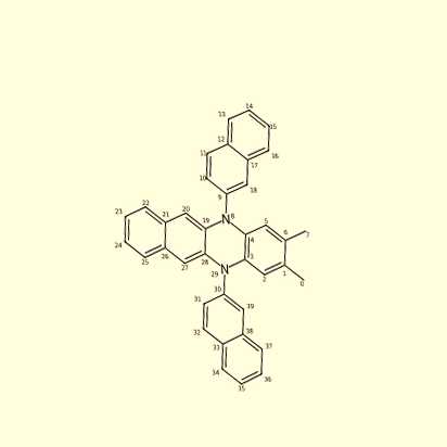 Cc1cc2c(cc1C)N(c1ccc3ccccc3c1)c1cc3ccccc3cc1N2c1ccc2ccccc2c1